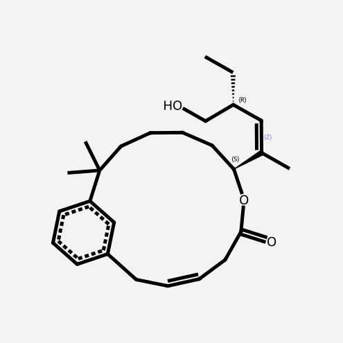 CC[C@H](/C=C(/C)[C@@H]1CCCCC(C)(C)c2cccc(c2)CC=CCC(=O)O1)CO